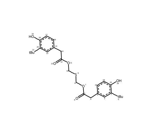 CC(C)(C)c1cc(CC(=O)OCSCOC(=O)Cc2ccc(O)c(C(C)(C)C)c2)ccc1O